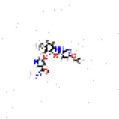 CCOc1ccc(C(=O)Nc2ccc(C)c(COc3cncc(C(N)=O)c3)c2)cn1